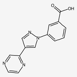 O=C(O)c1cccc(-n2cc(-c3cnccn3)cn2)c1